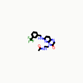 CC(=O)NCCn1c(=O)cnc2ccc(NCc3cccc(C(F)(F)F)c3)nc21